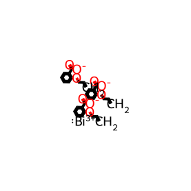 C=CCOc1ccccc1C(=O)[O-].C=CCOc1ccccc1C(=O)[O-].C=CCOc1ccccc1C(=O)[O-].[Bi+3]